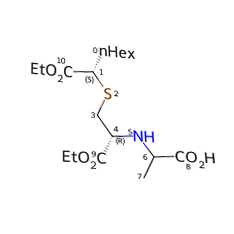 CCCCCC[C@H](SC[C@H](NC(C)C(=O)O)C(=O)OCC)C(=O)OCC